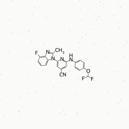 Cc1nc2c(F)cccc2n1-c1cc(C#N)cc(Nc2ccc(OC(F)F)cc2)n1